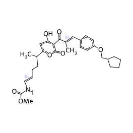 COC(=O)N(I)/C=C/CCC(C)c1cc(O)c(C(=O)/C(C)=C/c2ccc(OCC3CCCC3)cc2)c(=O)o1